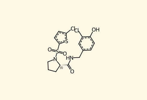 O=C(NCc1ccc(O)c(Cl)c1)[C@@H]1CCCN1S(=O)(=O)c1ccc(Cl)s1